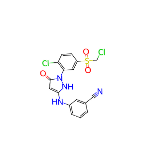 N#Cc1cccc(Nc2cc(=O)n(-c3cc(S(=O)(=O)CCl)ccc3Cl)[nH]2)c1